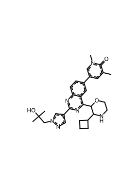 Cc1cc(-c2ccc3nc(-c4cnn(CC(C)(C)O)c4)nc(C4OCCNC4C4CCC4)c3c2)cn(C)c1=O